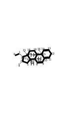 CC[C@H]1[C@@H](C)C[C@H]2[C@@H]3C=CC4=CCC=C[C@]4(C)[C@H]3CC[C@@]21C